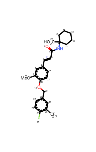 COc1cc(/C=C/C(=O)NC2(C(=O)O)CCCCC2)ccc1OCc1ccc(F)c(C(F)(F)F)c1